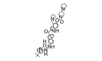 CC(C)(C)c1cc(NC(O)Nc2ccc3oc(C(=O)c4cc5c(CN6CCCC6)c(OC(=O)N6CCC(N7CCCCC7)CC6)ccc5[nH]4)cc3c2)no1